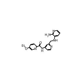 CCOc1ccc(C(=O)Nc2ccnc(CNc3cccnc3N)c2)nc1